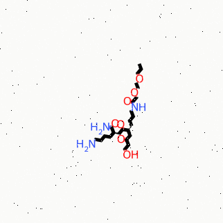 CCCOCCOCC(=O)NCCCC[C@H](CC(=O)CCO)C(=O)C[C@@H](CCCCN)C(N)=O